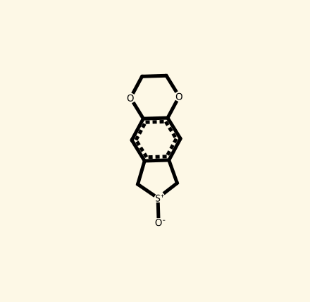 [O-][S+]1Cc2cc3c(cc2C1)OCCO3